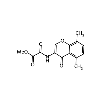 COC(=O)C(=O)Nc1coc2c(C)ccc(C)c2c1=O